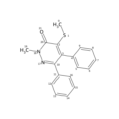 CSc1c(-c2ccccc2)c(-c2ccccc2)nn(C)c1=O